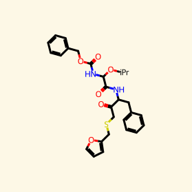 CC(C)OC(NC(=O)OCc1ccccc1)C(=O)NC(Cc1ccccc1)C(=O)CSCc1ccco1